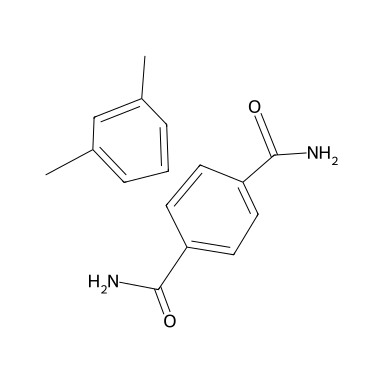 Cc1cccc(C)c1.NC(=O)c1ccc(C(N)=O)cc1